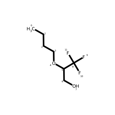 CCCCOC(CO)C(F)(F)F